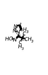 CC(C)(C)/C(=N/O)n1ccnn1